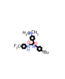 CN(C)c1ccc(-c2oc(-c3ccc(C(C)(C)C)cc3)nc2C(=O)Nc2ccc(C(F)(F)F)cc2)cc1